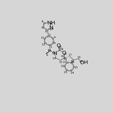 C[C@@H](c1ccc(-c2cc[nH]n2)cc1)N1CC[C@](CCCO)(c2ccccc2)OC1=O